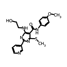 COc1ccc(NC(=O)c2c(NCCO)nc(-c3cccnc3)nc2SC)cc1